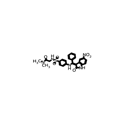 CN(C)C(=O)CNS(=O)(=O)c1ccc(N/C(=C2\C(=O)Nc3ccc([N+](=O)[O-])cc32)c2ccccc2)cc1